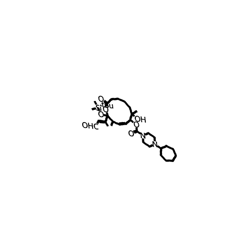 C/C(=C\C=O)C1(O[Si](C)(C)C(C)(C)C)OC(=O)CCCCC(C)(O)C(OC(=O)N2CCN(C3CCCCCC3)CC2)C=CC1C